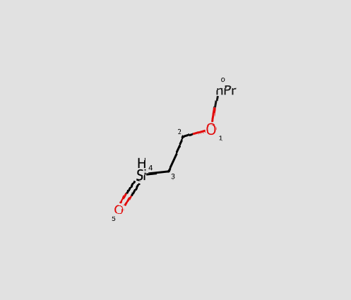 CCCOCC[SiH]=O